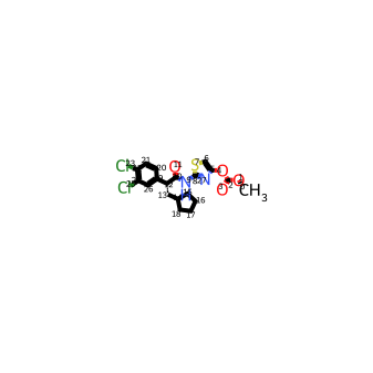 COC(=O)Oc1csc(NC(=O)[C@H](CC2CCCC2)c2ccc(Cl)c(Cl)c2)n1